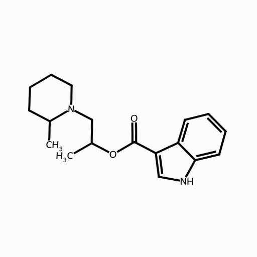 CC(CN1CCCCC1C)OC(=O)c1c[nH]c2ccccc12